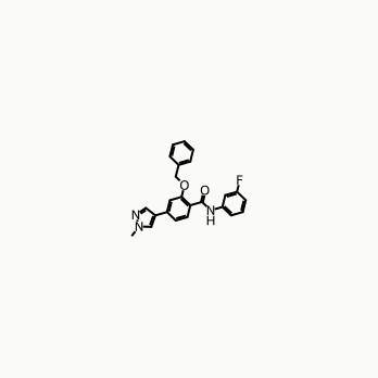 Cn1cc(-c2ccc(C(=O)Nc3cccc(F)c3)c(OCc3ccccc3)c2)cn1